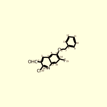 O=Cc1cc2cc(OCc3ccccc3)c(F)cc2nc1Cl